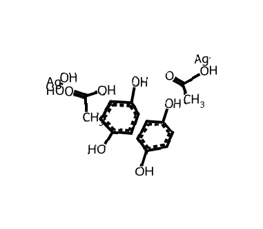 CC(=O)O.CC(=O)O.OO.Oc1ccc(O)cc1.Oc1ccc(O)cc1.[Ag].[Ag]